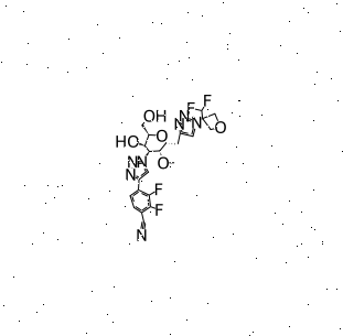 CO[C@@H]1[C@@H](n2cc(-c3ccc(C#N)c(F)c3F)nn2)[C@@H](O)[C@@H](CO)O[C@@H]1Cc1cn(C2(C(F)F)COC2)nn1